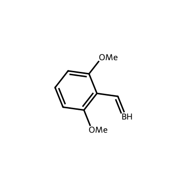 B=Cc1c(OC)cccc1OC